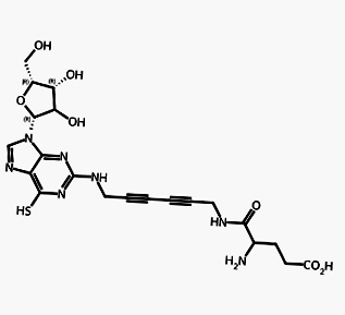 NC(CCC(=O)O)C(=O)NCC#CC#CCNc1nc(S)c2ncn([C@@H]3O[C@H](CO)[C@H](O)C3O)c2n1